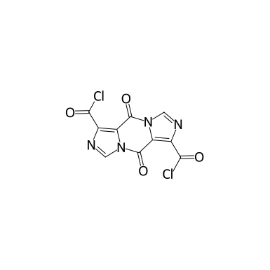 O=C(Cl)c1ncn2c(=O)c3c(C(=O)Cl)ncn3c(=O)c12